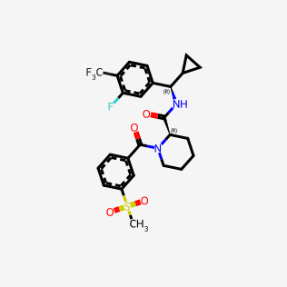 CS(=O)(=O)c1cccc(C(=O)N2CCCC[C@@H]2C(=O)N[C@@H](c2ccc(C(F)(F)F)c(F)c2)C2CC2)c1